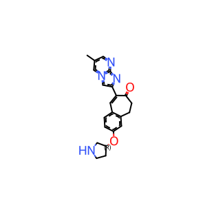 Cc1cnc2nc(C3=Cc4ccc(O[C@@H]5CCNC5)cc4CCC3=O)cn2c1